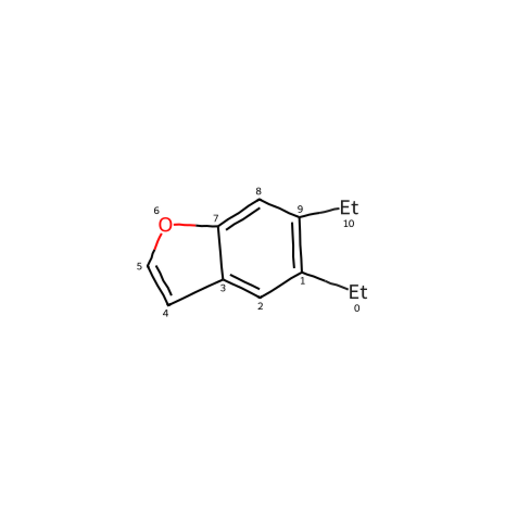 CCc1cc2ccoc2cc1CC